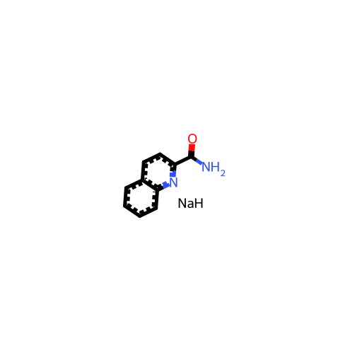 NC(=O)c1ccc2ccccc2n1.[NaH]